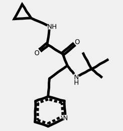 CC(C)(C)NC(Cc1cccnc1)C(=O)C(=O)NC1CC1